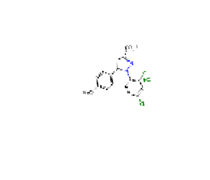 COc1ccc(C2CC(C(=O)O)=NN2c2ccc(Cl)cc2Cl)cc1.Cl